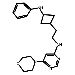 c1ccc(NC2CC(CCNc3cc(N4CCOCC4)ncn3)C2)cc1